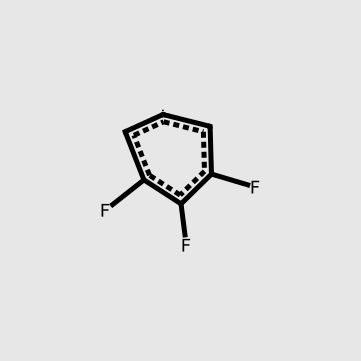 Fc1c[c]cc(F)c1F